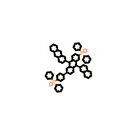 O=P(c1ccccc1)(c1ccccc1)c1ccc(-c2ccc3c(-c4ccc5ccccc5c4)c4cc(P(=O)(c5ccccc5)c5ccccc5)ccc4c(-c4ccc5cc6ccccc6cc5c4)c3c2)cc1